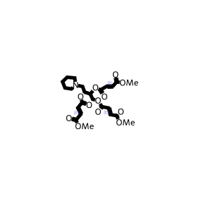 COC(=O)/C=C/C(=O)OCC(OC(=O)/C=C/C(=O)OC)C(CN1CCCCC1)OC(=O)/C=C/C(=O)OC